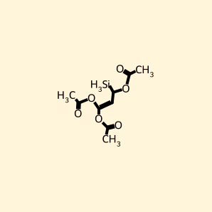 CC(=O)OC(=CC([SiH3])OC(C)=O)OC(C)=O